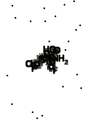 CC(C)(Cc1ccc(F)cc1)N(C(=O)c1ccc(-c2ccc(F)c(Cl)c2)s1)[C@@H](CCC(=O)O)C(N)=O